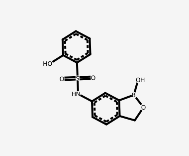 O=S(=O)(Nc1ccc2c(c1)B(O)OC2)c1ccccc1O